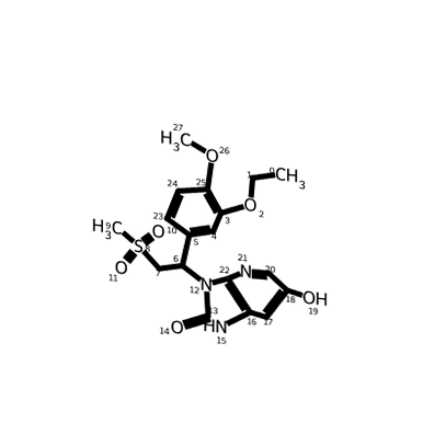 CCOc1cc(C(CS(C)(=O)=O)n2c(=O)[nH]c3cc(O)cnc32)ccc1OC